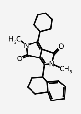 CN1C(=O)C2=C(C3CCCc4ccccc43)N(C)C(=O)C2=C1C1CCCCC1